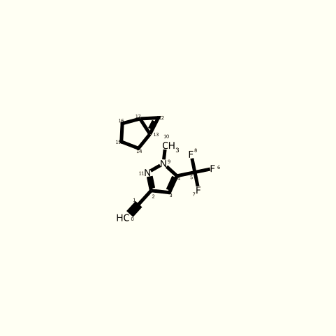 C#Cc1cc(C(F)(F)F)n(C)n1.C1=C2CCCC12